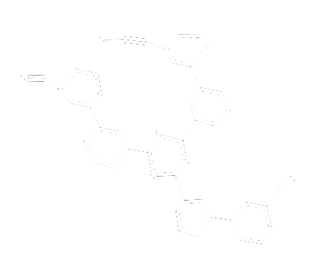 N#Cc1cccc(-c2cccc(-c3nc(-c4cccc(-c5cccc(C#N)c5)c4)nc(-c4cccc(-c5cccc(C#CN)c5)c4)n3)c2)c1